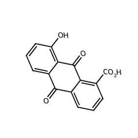 O=C(O)c1cccc2c1C(=O)c1c(O)cccc1C2=O